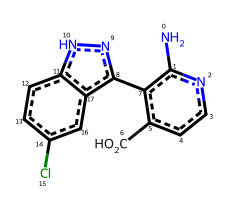 Nc1nccc(C(=O)O)c1-c1n[nH]c2ccc(Cl)cc12